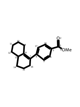 COC(=O)c1ccc(C2=C3CCCCC3CCC2)cc1